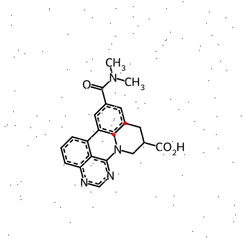 CN(C)C(=O)c1cccc(-c2cccc3ncnc(N4CCCC(C(=O)O)C4)c23)c1